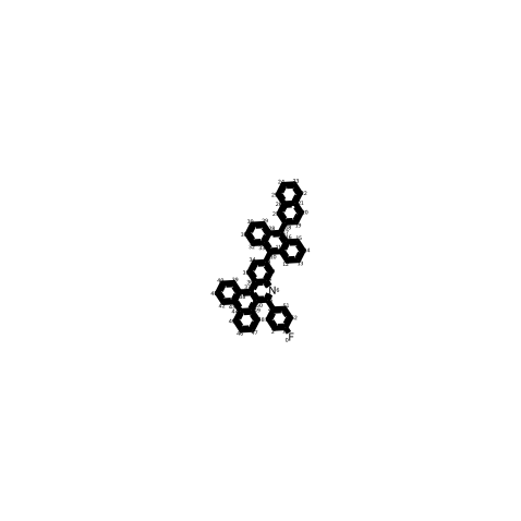 Fc1ccc(-c2nc3cc(-c4c5ccccc5c(-c5ccc6ccccc6c5)c5ccccc45)ccc3c3c4ccccc4c4ccccc4c23)cc1